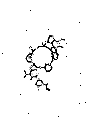 C=CC(=O)N1C[C@@H](C(=O)N(C)[C@H](C(=O)N[C@H]2Cc3cccc(c3)-c3ccc4c(c3)c(c(-c3cccnc3[C@H](C)OC)n4CC)CC(C)(C)COC(=O)[C@@H]3CCCN(N3)C2=O)C(C)C)C[C@H]1C